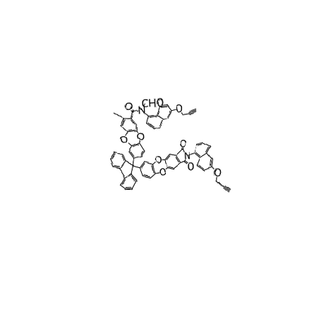 C#CCOc1ccc2c(N(C=O)C(=O)c3cc4c(cc3C)Oc3cc(C5(c6ccc7oc8cc9c(=O)n(-c%10cccc%11cc(OCC#C)ccc%10%11)c(=O)c9cc8oc7c6)c6ccccc6-c6ccccc65)ccc3O4)cccc2c1